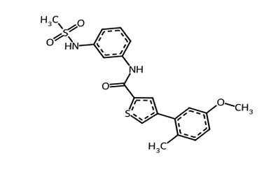 COc1ccc(C)c(-c2csc(C(=O)Nc3cccc(NS(C)(=O)=O)c3)c2)c1